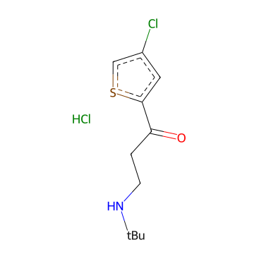 CC(C)(C)NCCC(=O)c1cc(Cl)cs1.Cl